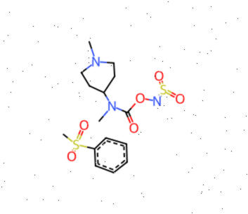 CN1CCC(N(C)C(=O)ON=S(=O)=O)CC1.CS(=O)(=O)c1ccccc1